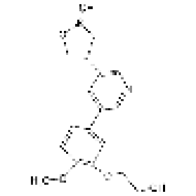 COc1ccc(-c2cncc([C@@H]3COB(O)C3)c2)cc1OCCO